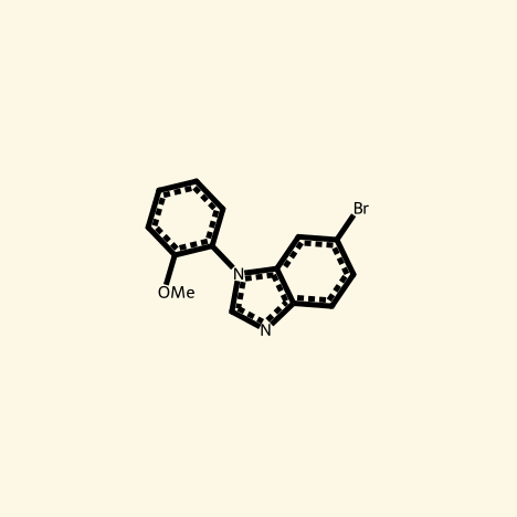 COc1ccccc1-n1cnc2ccc(Br)cc21